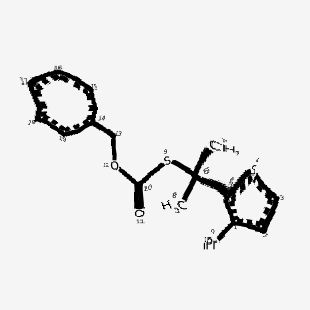 CC(C)c1ccsc1C(C)(C)SC(=O)OCc1ccccc1